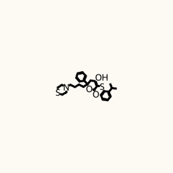 CC(C)c1ccccc1SC1=C(O)CC(CCCCN2CCSCC2)(c2ccccc2)OC1=O